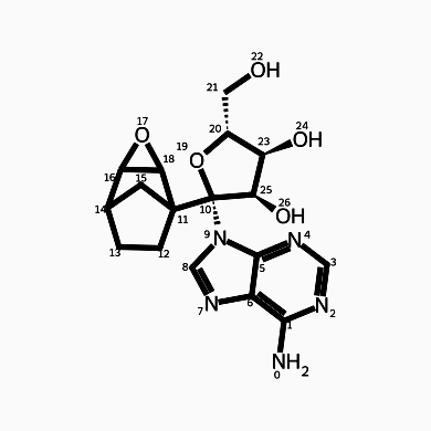 Nc1ncnc2c1ncn2[C@]1(C23CCC(C2)C2OC23)O[C@H](CO)[C@@H](O)[C@H]1O